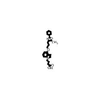 Cc1oc(-c2ccccc2)nc1CCCOc1cccc2c1ccn2CCCC(=O)O